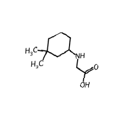 CC1(C)CCCC(NCC(=O)O)C1